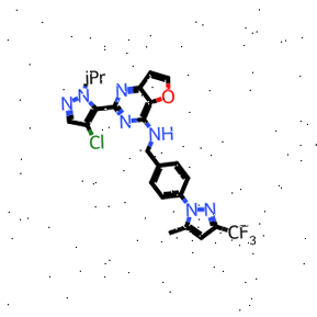 Cc1cc(C(F)(F)F)nn1-c1ccc(CNc2nc(-c3c(Cl)cnn3C(C)C)nc3ccoc23)cc1